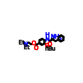 CCCCOc1cc(C(=O)OCCN(CC)CC)ccc1NC(=O)[C@H](N)Cc1ccccc1